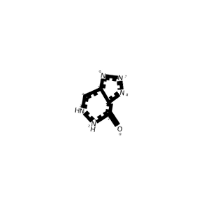 O=c1[nH][nH]cc2nnnc1-2